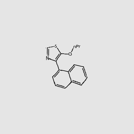 CCCOc1s[c]nc1-c1cccc2ccccc12